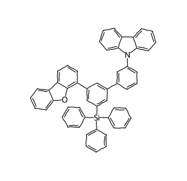 c1ccc([Si](c2ccccc2)(c2ccccc2)c2cc(-c3cccc(-n4c5ccccc5c5ccccc54)c3)cc(-c3cccc4c3oc3ccccc34)c2)cc1